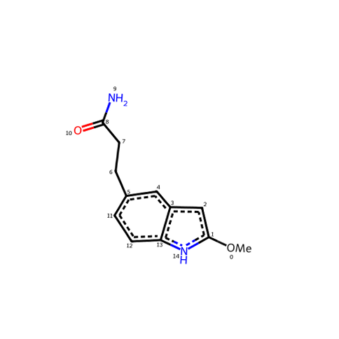 COc1cc2cc(CCC(N)=O)ccc2[nH]1